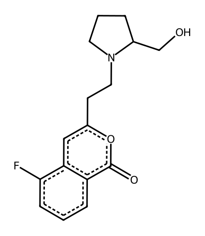 O=c1oc(CCN2CCCC2CO)cc2c(F)cccc12